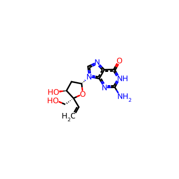 C=C[C@]1(CO)O[C@@H](n2cnc3c(=O)[nH]c(N)nc32)C[C@@H]1O